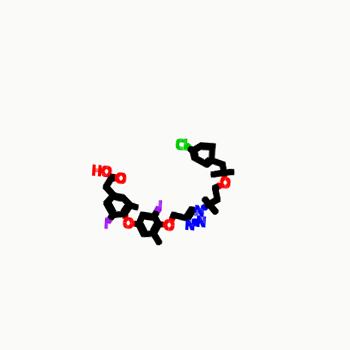 Cc1cc(Oc2c(C)cc(CC(=O)O)cc2I)cc(I)c1OCc1cn(C(C)(C)CCOC(C)(C)Cc2ccc(Cl)cc2)nn1